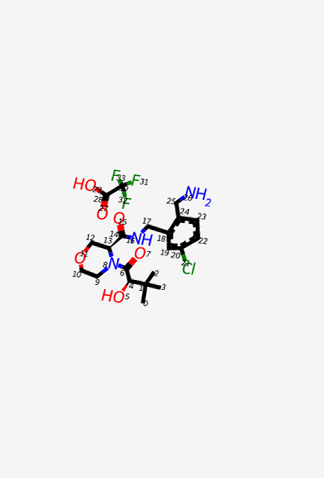 CC(C)(C)[C@@H](O)C(=O)N1CCOC[C@H]1C(=O)NCc1cc(Cl)ccc1CN.O=C(O)C(F)(F)F